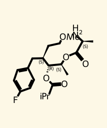 COCC[C@H](Cc1ccc(F)cc1)[C@@H](OC(=O)C(C)C)[C@H](C)OC(=O)[C@H](C)N